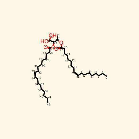 CCCCCCCC/C=C\CCCCCCCC(=O)OC(C)C(OC(=O)CCCCCCC/C=C\CCCCCCCC)C(O)O